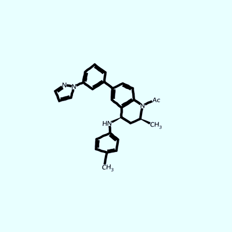 CC(=O)N1c2ccc(-c3cccc(-n4cccn4)c3)cc2[C@H](Nc2ccc(C)cc2)C[C@@H]1C